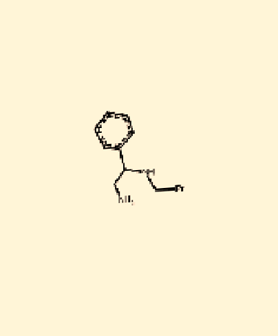 CC(C)CNC(CN)c1ccccc1